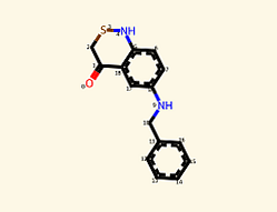 O=C1CSNc2ccc(NCc3ccccc3)cc21